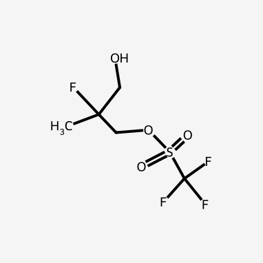 CC(F)(CO)COS(=O)(=O)C(F)(F)F